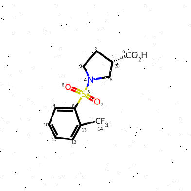 O=C(O)[C@H]1CCN(S(=O)(=O)c2ccccc2C(F)(F)F)C1